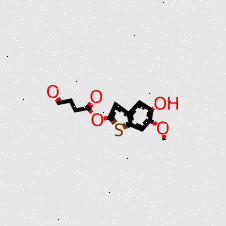 COc1cc2sc(OC(=O)CCC=O)cc2cc1O